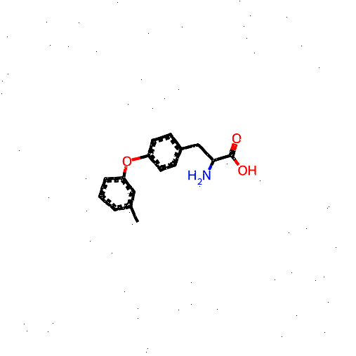 Cc1cccc(Oc2ccc(CC(N)C(=O)O)cc2)c1